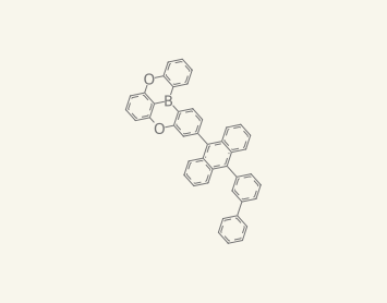 c1ccc(-c2cccc(-c3c4ccccc4c(-c4ccc5c(c4)Oc4cccc6c4B5c4ccccc4O6)c4ccccc34)c2)cc1